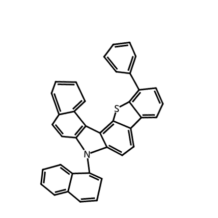 c1ccc(-c2cccc3c2sc2c3ccc3c2c2c4ccccc4ccc2n3-c2cccc3ccccc23)cc1